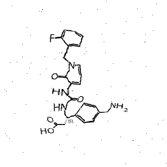 NCc1ccc([C@H](CC(=O)O)NC(=O)Nc2cccn(Cc3ccccc3F)c2=O)cc1